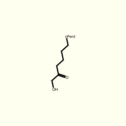 CCCCCCCCCC(=O)[CH]O